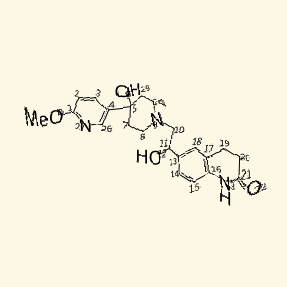 COc1ccc(C2(O)CCN(CC(O)c3ccc4c(c3)CCC(=O)N4)CC2)cn1